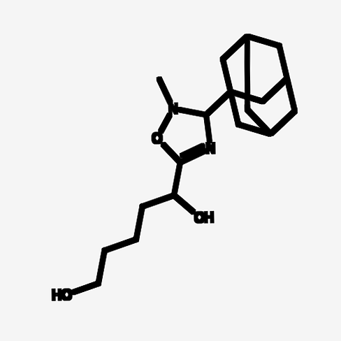 CN1OC(C(O)CCCCO)=NC1C12CC3CC(CC(C3)C1)C2